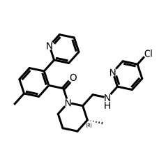 Cc1ccc(-c2ccccn2)c(C(=O)N2CCC[C@@H](C)C2CNc2ccc(Cl)cn2)c1